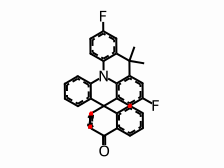 CC1(C)c2cc(F)ccc2N2c3ccccc3C3(c4ccccc4C(=O)c4ccccc43)c3cc(F)cc1c32